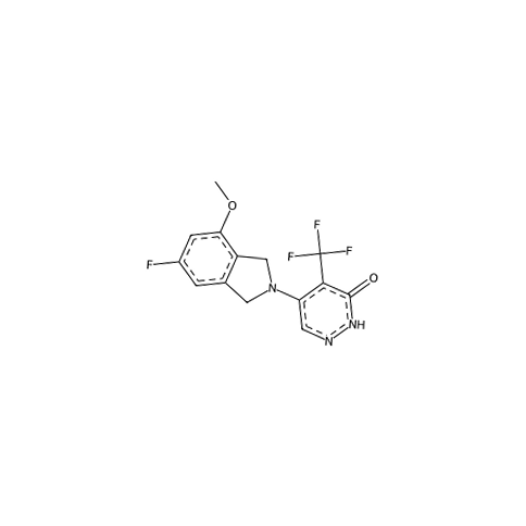 COc1cc(F)cc2c1CN(c1cn[nH]c(=O)c1C(F)(F)F)C2